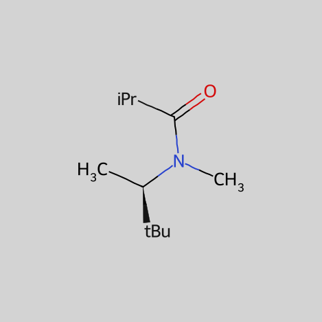 CC(C)C(=O)N(C)[C@H](C)C(C)(C)C